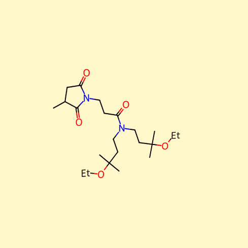 CCOC(C)(C)CCN(CCC(C)(C)OCC)C(=O)CCN1C(=O)CC(C)C1=O